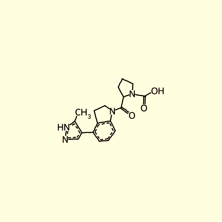 Cc1[nH]ncc1-c1cccc2c1CCN2C(=O)C1CCCN1C(=O)O